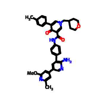 COc1cc(-c2cnc(N)c(-c3ccc(NC(=O)c4cn(CC5CCOCC5)cc(-c5ccc(C)cc5)c4=O)cc3)c2)cc(C)n1